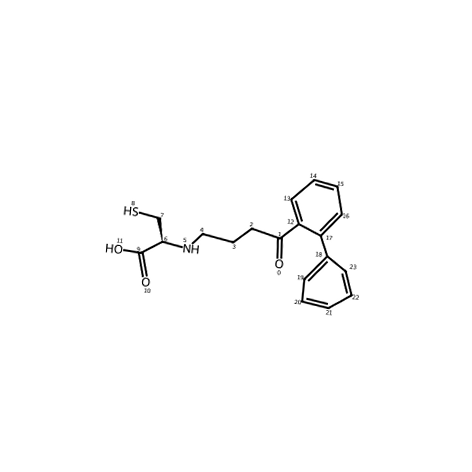 O=C(CCCN[C@H](CS)C(=O)O)c1ccccc1-c1ccccc1